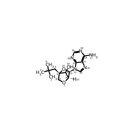 CC(C)(C)C[C@]12CO[C@@H](C1O)[C@H](n1cnc3c(N)ncnc31)O2